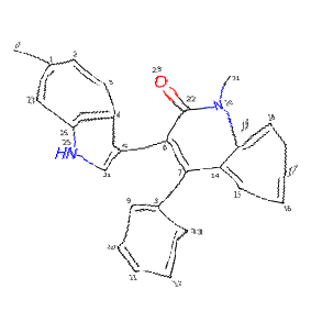 Cc1ccc2c(-c3c(-c4ccccc4)c4ccccc4n(C)c3=O)c[nH]c2c1